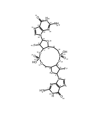 Nc1nc2c(ncn2C2OC3COP(=O)(O)OC4C(CCP(=O)(O)OC3C2F)OC(n2cnc3c(=O)[nH]c(N)nc32)C4F)c(=O)[nH]1